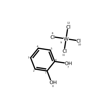 Oc1ccccc1O.[Cl][W]([Cl])([Cl])[Cl]